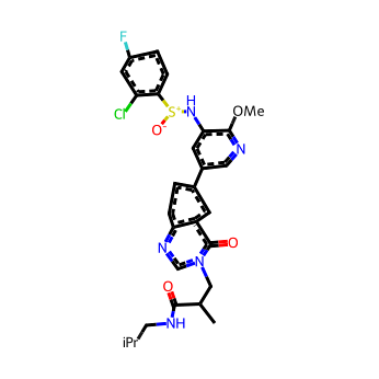 COc1ncc(-c2ccc3ncn(CC(C)C(=O)NCC(C)C)c(=O)c3c2)cc1N[S+]([O-])c1ccc(F)cc1Cl